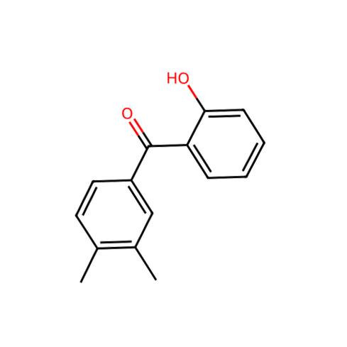 Cc1ccc(C(=O)c2ccccc2O)cc1C